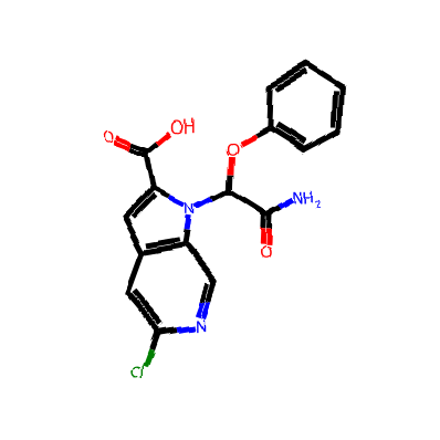 NC(=O)C(Oc1ccccc1)n1c(C(=O)O)cc2cc(Cl)ncc21